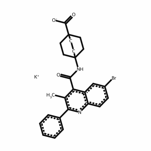 Cc1c(-c2ccccc2)nc2ccc(Br)cc2c1C(=O)NC12CCC(C(=O)[O-])(CC1)CC2.[K+]